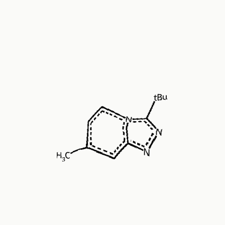 Cc1ccn2c(C(C)(C)C)nnc2c1